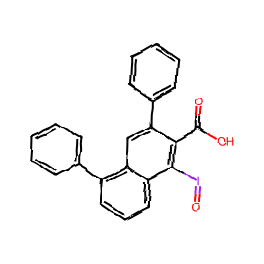 O=Ic1c(C(=O)O)c(-c2ccccc2)cc2c(-c3ccccc3)cccc12